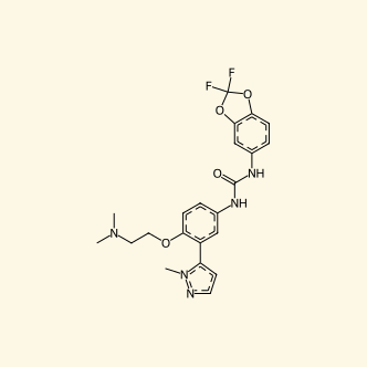 CN(C)CCOc1ccc(NC(=O)Nc2ccc3c(c2)OC(F)(F)O3)cc1-c1ccnn1C